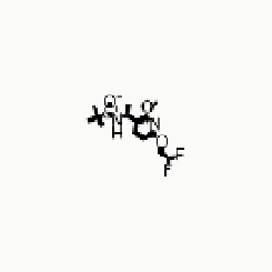 COc1nc(OCC(F)F)ccc1C(C)N[S+]([O-])C(C)(C)C